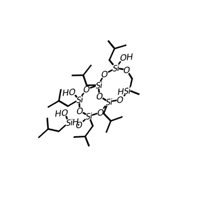 CC(C)C[SiH](O)O[Si]1(CC(C)C)O[Si](O)(CC(C)C)O[Si]2(CC(C)C)O[Si](O)(CC(C)C)OC[SiH](C)O[Si](CC(C)C)(O1)O2